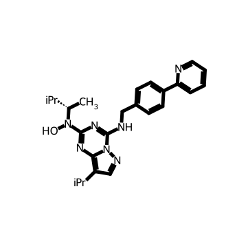 CC(C)c1cnn2c(NCc3ccc(-c4ccccn4)cc3)nc(N(O)[C@@H](C)C(C)C)nc12